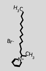 CCCCCCCCCCCCCC(CC)[n+]1ccccc1.[Br-]